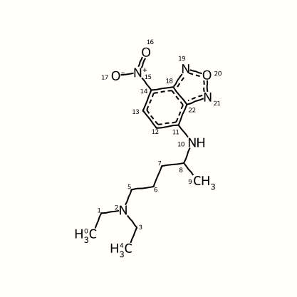 CCN(CC)CCCC(C)Nc1ccc([N+](=O)[O-])c2nonc12